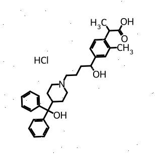 Cc1cc(C(O)CCCN2CCC(C(O)(c3ccccc3)c3ccccc3)CC2)ccc1C(C)C(=O)O.Cl